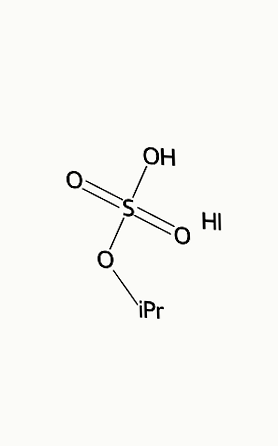 CC(C)OS(=O)(=O)O.I